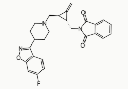 C=C1[C@H](CN2CCC(c3noc4cc(F)ccc34)CC2)[C@H]1CN1C(=O)c2ccccc2C1=O